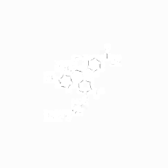 Cc1c(Cl)cccc1C1=C(c2ccc(CC3CN(CCCF)C3)c(F)c2)c2ccc(C(=O)O)cc2CCC1